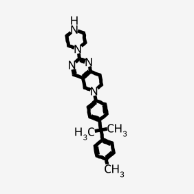 Cc1ccc(C(C)(C)c2ccc(N3CCc4nc(N5CCNCC5)ncc4C3)cc2)cc1